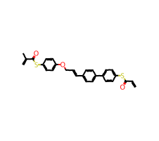 C=CC(=O)Sc1ccc(-c2ccc(/C=C/COc3ccc(SC(=O)C(=C)C)cc3)cc2)cc1